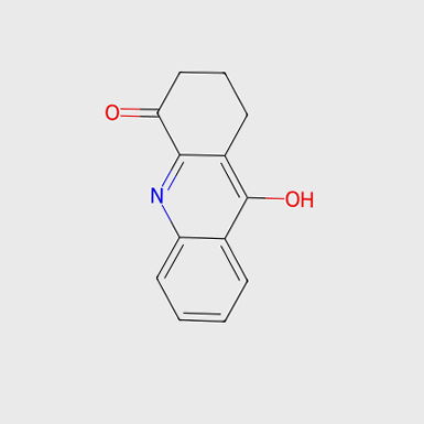 O=C1CCCc2c1nc1ccccc1c2O